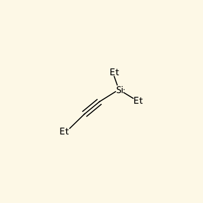 CCC#C[Si](CC)CC